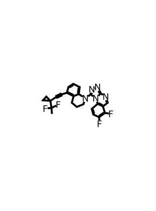 CC(F)(F)C1(C#Cc2cccc3c2CCCN3c2nnc3ncc4c(F)c(F)ccc4n23)CC1